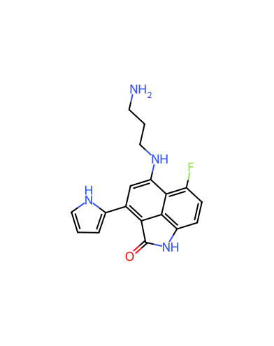 NCCCNc1cc(-c2ccc[nH]2)c2c3c(ccc(F)c13)NC2=O